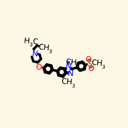 Cc1cc(-c2ccc(OC3CCN(CC(C)C)CC3)cc2)cc2c1nc(-c1ccc(S(C)(=O)=O)cc1)n2C